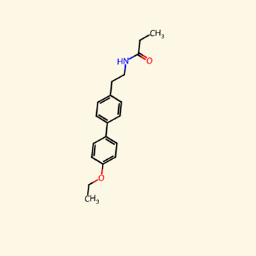 CCOc1ccc(-c2ccc(CCNC(=O)CC)cc2)cc1